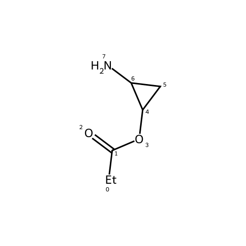 CCC(=O)OC1CC1N